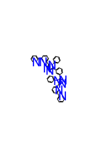 c1ccc(-n2c(-c3cccc(-c4nnc(-c5cccc(-c6ccccn6)n5)n4-c4ccccc4)c3)nnc2-c2cccc(-c3ccccn3)n2)cc1